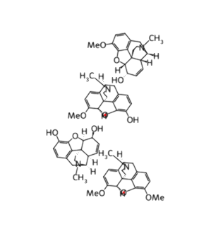 CN1CC[C@]23c4c5ccc(O)c4O[C@H]2[C@@H](O)C=C[C@H]3[C@H]1C5.COC1=CC=C2[C@H]3Cc4ccc(O)c5c4[C@@]2(CCN3C)[C@H]1O5.COC1=CC=C2[C@H]3Cc4ccc(OC)c5c4[C@@]2(CCN3C)[C@H]1O5.COc1ccc2c3c1O[C@H]1[C@@H](O)C=C[C@H]4[C@@H](C2)N(C)CC[C@@]341